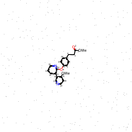 COC(=O)CCc1ccc(Oc2ncccc2-c2cnccc2OC)cc1